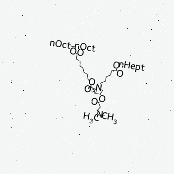 CCCCCCCCC(CCCCCCCC)OC(=O)CCCCCCCOC(=O)[C@@H]1CC(OC(=O)CCN(C)C)CN1CCCCCC(=O)OCCCCCCC